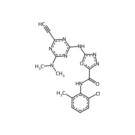 C#Cc1nc(Nc2nnc(C(=O)Nc3c(C)cccc3Cl)o2)nc(N(C)C)n1